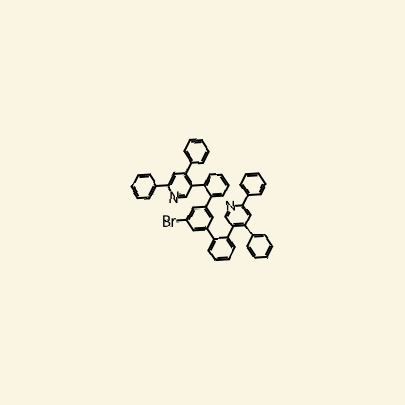 Brc1cc(-c2ccccc2-c2cnc(-c3ccccc3)cc2-c2ccccc2)cc(-c2ccccc2-c2cnc(-c3ccccc3)cc2-c2ccccc2)c1